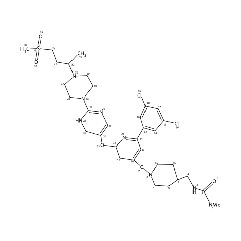 CNC(=O)NCC1CCN(CC2=CC(c3cc(Cl)cc(Cl)c3)=NC(OC3=CN=C(N4CCN(C(C)CCS(C)(=O)=O)CC4)NC3)C2)CC1